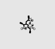 C#CC(CCC(CC(C#C)[SH](=O)=O)C(C#C)[SH](=O)=O)[SH](=O)=O